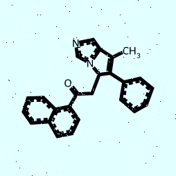 CC1=C(c2ccccc2)C(CC(=O)c2cccc3ccccc23)n2cncc21